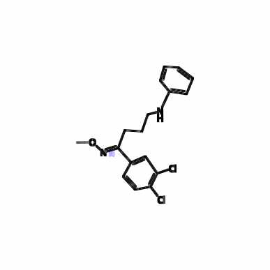 CO/N=C(\CCCNc1ccccc1)c1ccc(Cl)c(Cl)c1